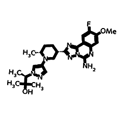 COc1cc2nc(N)n3nc([C@H]4CC[C@@H](C)N(c5cnn([C@H](C)C(C)(C)O)c5)C4)nc3c2cc1F